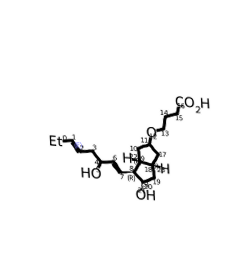 CC/C=C/CC(O)C=C[C@H]1[C@@H]2CC(OCCCC(=O)O)C[C@@H]2C[C@@H]1O